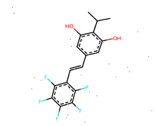 CC(C)c1c(O)cc(/C=C/c2c(F)c(F)c(F)c(F)c2F)cc1O